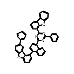 c1ccc(-c2ccc3oc4cccc(-c5ccc(-c6nc(-c7ccccc7)nc(-c7cccc8c7oc7ccccc78)n6)c6ccccc56)c4c3c2)cc1